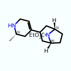 CCOC(=O)N1[C@@H]2CC[C@H]1CC(C1=CCN[C@@H](C)C1)C2